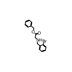 O=C(CNCc1ccccc1Br)OCc1ccccc1